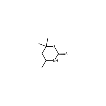 CC1CC(C)(C)SC(=S)N1